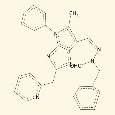 Cc1c(/C=N\N(C=O)Cc2ccccc2)c2sc(Cc3ccccn3)nc2n1-c1ccccc1